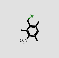 Cc1cc(C)c([N+](=O)[O-])c(C)c1CBr